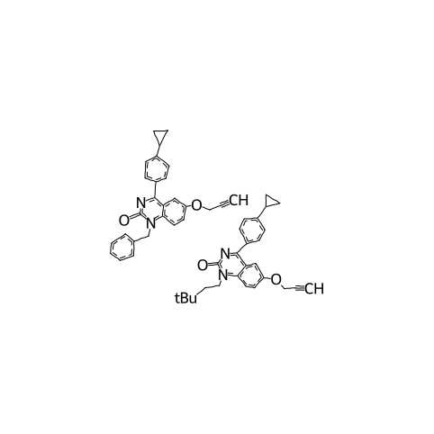 C#CCOc1ccc2c(c1)c(-c1ccc(C3CC3)cc1)nc(=O)n2CCC(C)(C)C.C#CCOc1ccc2c(c1)c(-c1ccc(C3CC3)cc1)nc(=O)n2Cc1ccccc1